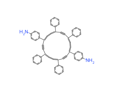 Nc1ccc(C2=C=C=C(c3ccccc3)C#CC(c3ccccc3)=C=C=C(c3ccc(N)cc3)C#CC(c3ccccc3)=C=C=C(c3ccccc3)C#C2)cc1